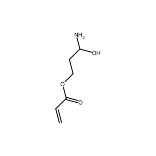 C=CC(=O)OCCC(N)O